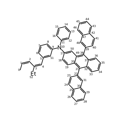 C/C=C\C(=C/c1cccc(N(c2ccccc2)c2ccc3c(-c4ccc5ccccc5c4)c4ccccc4c(-c4ccc5ccccc5c4)c3c2)c1)CC